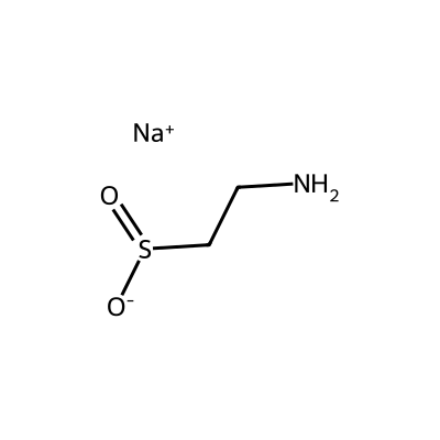 NCCS(=O)[O-].[Na+]